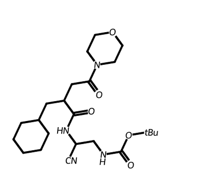 CC(C)(C)OC(=O)NCC(C#N)NC(=O)C(CC(=O)N1CCOCC1)CC1CCCCC1